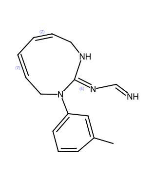 Cc1cccc(N2C/C=C\C=C/CN/C2=N\C=N)c1